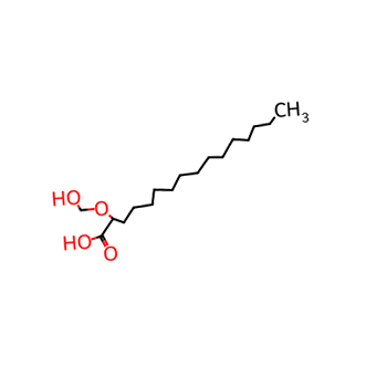 CCCCCCCCCCCCCCC(OCO)C(=O)O